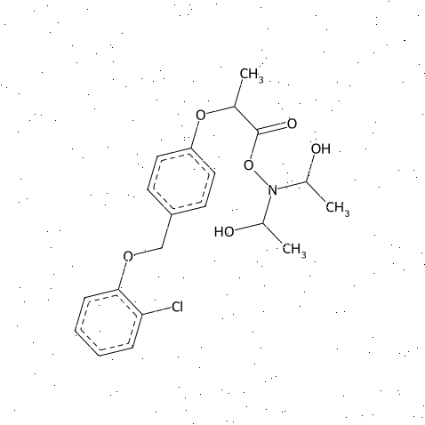 CC(Oc1ccc(COc2ccccc2Cl)cc1)C(=O)ON(C(C)O)C(C)O